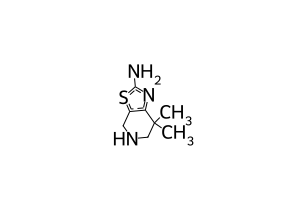 CC1(C)CNCc2sc(N)nc21